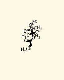 C=CC(=O)OC(C)(C)[Si](C)(CC)OCC